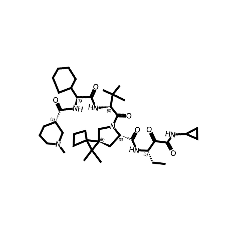 CC[C@H](NC(=O)[C@@H]1C[C@@]2(CN1C(=O)[C@@H](NC(=O)[C@@H](NC(=O)[C@H]1CCCN(C)C1)C1CCCCC1)C(C)(C)C)C(C)(C)C21CCC1)C(=O)C(=O)NC1CC1